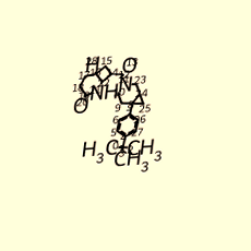 CC(C)(C)c1ccc(C23CCN(C(=O)[C@@H]4C[C@H]5CCC(=O)NC54)CC2C3)cc1